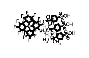 CC(C)(C)c1ccc(S(=O)(=O)O)cc1.CC(C)(C)c1ccc(S(=O)(=O)O)cc1.CC(C)(C)c1ccc(S(=O)(=O)O)cc1.Fc1c(F)c(F)c([B-](c2c(F)c(F)c(F)c(F)c2F)(c2c(F)c(F)c(F)c(F)c2F)c2c(F)c(F)c(F)c(F)c2F)c(F)c1F